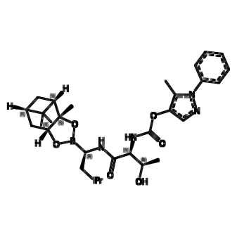 Cc1c(OC(=O)N[C@H](C(=O)N[C@@H](CC(C)C)B2O[C@@H]3C[C@@H]4C[C@@H](C4(C)C)[C@]3(C)O2)[C@@H](C)O)cnn1-c1ccccc1